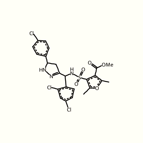 COC(=O)c1c(C)oc(C)c1S(=O)(=O)NC(C1=NNC(c2ccc(Cl)cc2)C1)c1ccc(Cl)cc1Cl